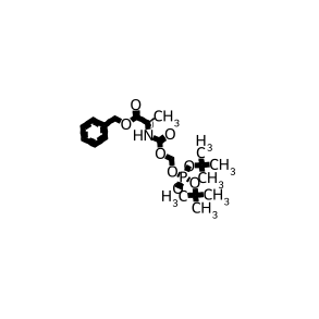 C[C@H](NC(=O)OCOP(=O)(OC(C)(C)C)OC(C)(C)C)C(=O)OCc1ccccc1